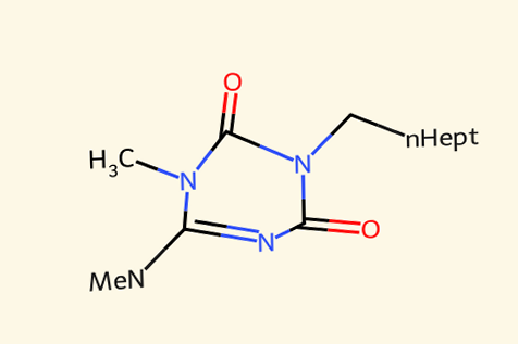 CCCCCCCCn1c(=O)nc(NC)n(C)c1=O